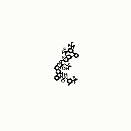 CSCC[C@@H](CO)N(Cc1ccc2cc(-c3ccccc3NC(=O)Nc3cc(C)cc(C(F)(F)F)c3)ccc2n1)Cc1ccc2cc(-c3ccccc3-c3cc(C(F)(F)F)cc(C(F)(F)F)c3)ccc2n1